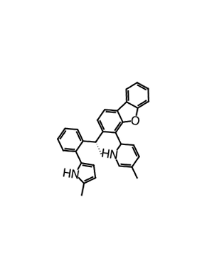 CC1=CNC(c2c([C@H](C)c3ccccc3-c3ccc(C)[nH]3)ccc3c2oc2ccccc23)C=C1